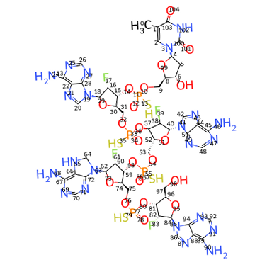 Cc1cn([C@H]2C[C@H](O)[C@@H](COP(=O)(S)O[C@H]3[C@@H](F)[C@H](n4cnc5c(N)ncnc54)O[C@@H]3COP(=O)(S)O[C@H]3[C@@H](F)[C@H](n4cnc5c(N)ncnc54)O[C@@H]3COP(=O)(S)O[C@H]3[C@@H](F)[C@H](N4CNc5c(N)ncnc54)O[C@@H]3COP(=O)(S)O[C@H]3[C@@H](F)[C@H](n4cnc5c(N)ncnc54)O[C@@H]3CO)O2)c(=O)[nH]c1=O